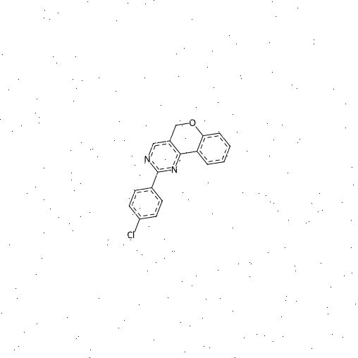 Clc1ccc(-c2ncc3c(n2)-c2ccccc2OC3)cc1